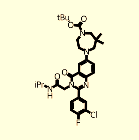 CC(C)NC(=O)Cn1c(-c2ccc(F)c(Cl)c2)nc2ccc(N3CCN(C(=O)OC(C)(C)C)CC(C)(C)C3)cc2c1=O